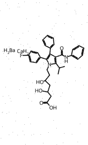 CC(C)c1c(C(=O)Nc2ccccc2)c(-c2ccccc2)c(-c2ccc(F)cc2)n1CCC(O)CC(O)CC(=O)O.[BaH2].[CaH2]